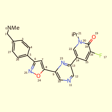 CNCc1ccc(-c2cc(-c3cncc(-c4cc(F)c(=O)n(C(C)C)c4)n3)on2)cc1